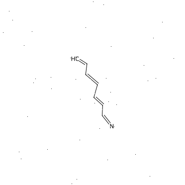 [CH]=CC=CC=CC=[N]